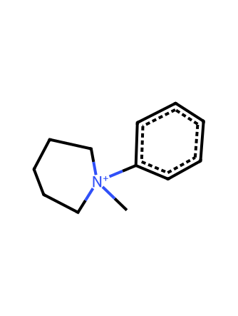 C[N+]1(c2ccccc2)CCCCC1